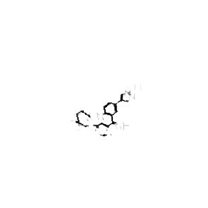 Cn1cc(-c2ccc(N)c(C(=N)c3cc(N4CCCC(F)(F)C4)ncn3)c2)cn1